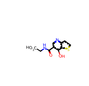 O=C(O)CNC(=O)c1cnc2ccsc2c1O